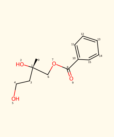 C[C@](O)(CCO)COC(=O)c1ccccc1